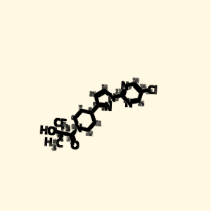 C[C@@](O)(C(=O)N1CCC(c2ccn(-c3ncc(Cl)cn3)n2)CC1)C(F)(F)F